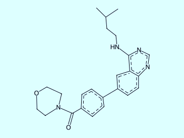 CC(C)CCNc1ncnc2ccc(-c3ccc(C(=O)N4CCOCC4)cc3)cc12